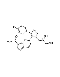 NC(=O)c1cnc2ccc(-c3c(-c4ccc(F)cc4)ncn3C[C@H](O)CO)cn12